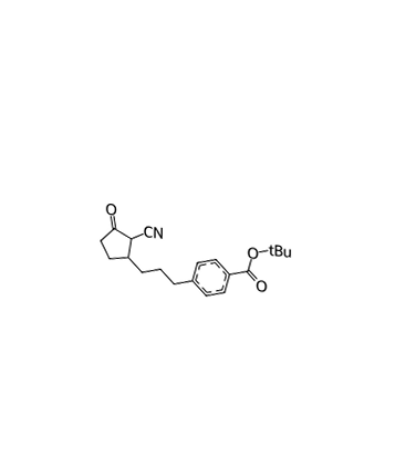 CC(C)(C)OC(=O)c1ccc(CCCC2CCC(=O)C2C#N)cc1